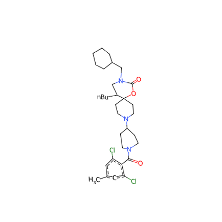 CCCCC1CN(CC2CCCCC2)C(=O)OC12CCN(C1CCN(C(=O)c3c(Cl)cc(C)cc3Cl)CC1)CC2